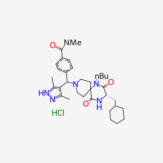 CCCCN1C(=O)[C@H](CC2CCCCC2)NC(=O)C12CCN(C(c1ccc(C(=O)NC)cc1)c1c(C)n[nH]c1C)CC2.Cl